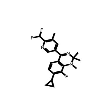 Cc1cc(C2=NC(C)(C)N(C)c3c2ccc(C2CC2)c3F)cnc1C(F)F